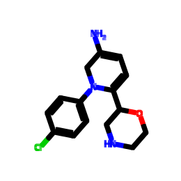 NC1=CC=C(C2CNCCO2)N(c2ccc(Cl)cc2)C1